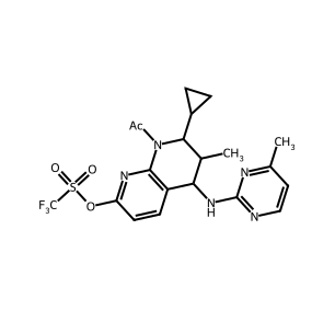 CC(=O)N1c2nc(OS(=O)(=O)C(F)(F)F)ccc2C(Nc2nccc(C)n2)C(C)C1C1CC1